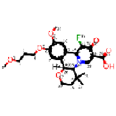 COCCCOc1cc2c(cc1OC)-c1c(F)c(=O)c(C(=O)O)cn1C1[C@@H]2OCCC1(C)C